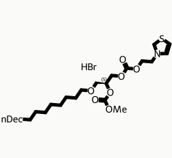 Br.CCCCCCCCCCCCCCCCCCOC[C@@H](COC(=O)OCCN1C=CSC1)OC(=O)OC